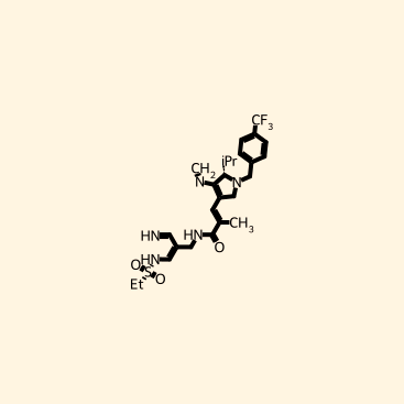 C=NC1=C(/C=C(\C)C(=O)NC/C(C=N)=C/NS(=O)(=O)CC)CN(Cc2ccc(C(F)(F)F)cc2)[C@H]1C(C)C